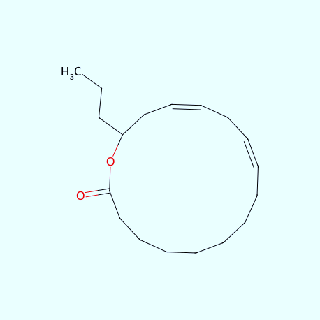 CCCC1C/C=C\C/C=C\CCCCCCCC(=O)O1